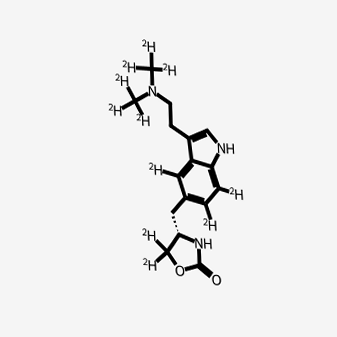 [2H]c1c(C[C@@H]2NC(=O)OC2([2H])[2H])c([2H])c2c(CCN(C([2H])([2H])[2H])C([2H])([2H])[2H])c[nH]c2c1[2H]